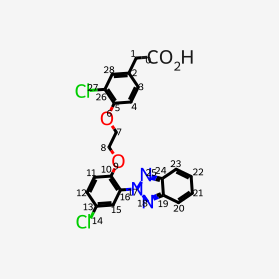 O=C(O)Cc1ccc(OCCOc2ccc(Cl)cc2-n2nc3ccccc3n2)c(Cl)c1